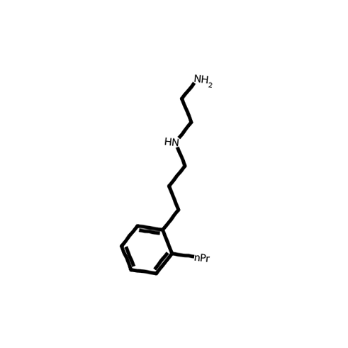 CCCc1ccccc1CCCNCCN